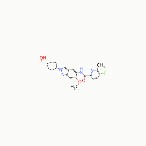 COc1cc2nn(C3CCC(CO)CC3)cc2cc1NC(=O)c1ccc(F)c(C)n1